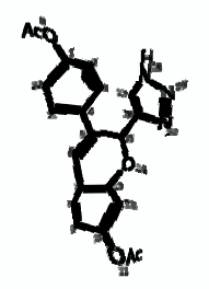 CC(=O)Oc1ccc(C2=Cc3ccc(OC(C)=O)cc3OC2c2c[nH]nn2)cc1